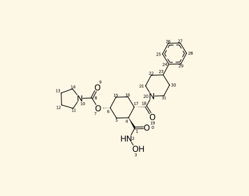 O=C(NO)[C@H]1C[C@H](OC(=O)N2CCCC2)CC[C@@H]1C(=O)N1CCC(c2ccccc2)CC1